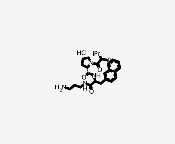 CC(C)C(C(=O)N1CCC[C@H]1C(=O)NC(Cc1ccc2ccccc2c1)C(=O)NCCCN)C(C)C.Cl